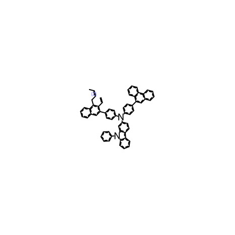 C=Cc1c(-c2ccc(N(c3ccc(-c4cc5ccccc5c5ccccc45)cc3)c3ccc4c5ccccc5n(-c5ccccc5)c4c3)cc2)cc2ccccc2c1C/C=C\C